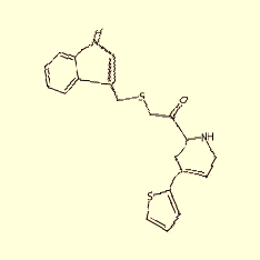 O=C(CSCc1c[nH]c2ccccc12)C1CC(c2cccs2)=CCN1